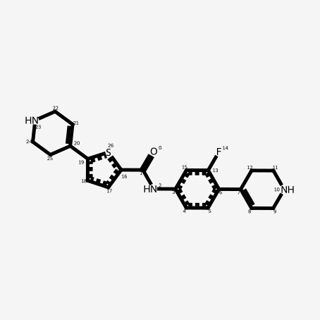 O=C(Nc1ccc(C2=CCNCC2)c(F)c1)c1ccc(C2=CCNCC2)s1